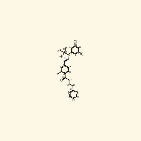 Cc1cc(/C=C/C(c2cc(Cl)cc(Cl)c2)C(F)(F)F)ccc1C(=O)CCCc1ncccn1